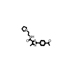 CC(=O)c1ccc(-c2nc(C)c(C(=O)NCCN3CCCC3)s2)cc1